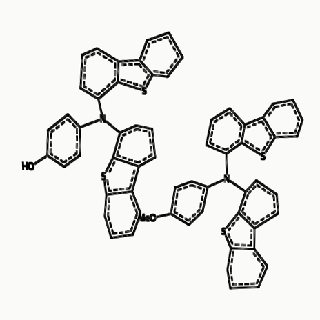 COc1ccc(N(c2cccc3c2sc2ccccc23)c2cccc3c2sc2ccccc23)cc1.Oc1ccc(N(c2cccc3c2sc2ccccc23)c2cccc3c2sc2ccccc23)cc1